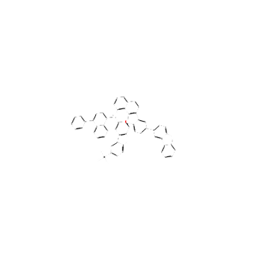 CC(C)(C)c1ccc2sc3ccc(N(c4ccc(-c5ccccc5)c5ccccc45)c4cccc5ccc6c7cc(-c8ccc9oc%10ccccc%10c9c8)ccc7oc6c45)cc3c2c1